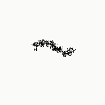 C=C1C[C@H]2C=Nc3cc(OCCCC(=O)Nc4cn(C)c(C(=O)Nc5cc(C(=O)Nc6cc(C(=O)n7ncc8cc(NC(C)C)ccc87)n(C)c6)n(C)c5)n4)c(OC)cc3C(=O)N2C1